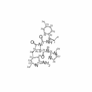 CC[C@@H](NC(=O)N1C(=O)[C@H](Cc2cc(C)nc(N)c2)[C@H]1C(=O)N(C)c1nccn1C)c1ccc(C)cc1